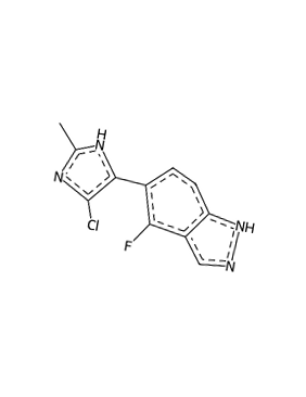 Cc1nc(Cl)c(-c2ccc3[nH]ncc3c2F)[nH]1